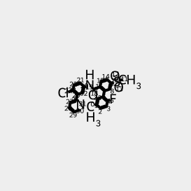 Cc1ccc(F)c(-c2cc(S(C)(=O)=O)ccc2C(=O)Nc2ccc(Cl)c(-c3ccccn3)c2)c1